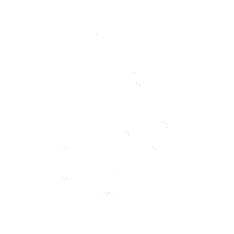 COc1cc(-c2cnc3[nH]cc(C(=O)NC4CCC(O)CC4)c3n2)cc(OC)c1OC